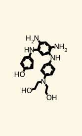 Nc1cc(N)c(Nc2ccc(N(CCO)CCO)cc2)cc1Nc1ccc(O)cc1